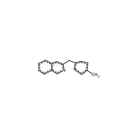 Cc1ccc(Cc2cc3ccccc3cn2)cc1